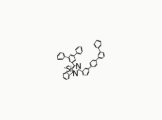 C[Si]1(C)c2ccccc2-c2nc(-c3cccc(-c4ccc(-c5cccc(-c6ccccc6)c5)cc4)c3)nc(-c3cc(-c4ccccc4)cc(-c4ccccc4)c3)c21